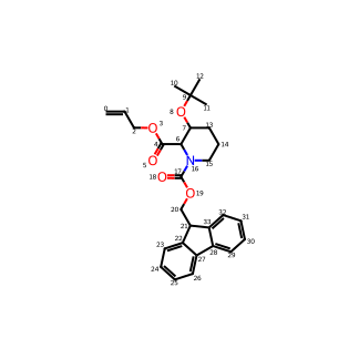 C=CCOC(=O)C1C(OC(C)(C)C)CCCN1C(=O)OCC1c2ccccc2-c2ccccc21